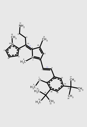 COc1c(/C=C/C2=[N+](C)C(=C(/CCN)c3cccn3C)/C(C)=C2)cc(C(C)(C)C)cc1C(C)(C)C